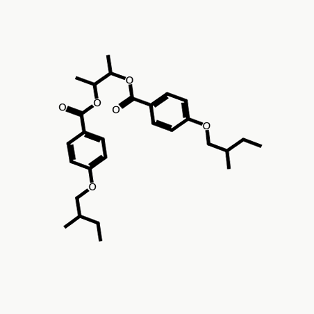 CCC(C)COc1ccc(C(=O)OC(C)C(C)OC(=O)c2ccc(OCC(C)CC)cc2)cc1